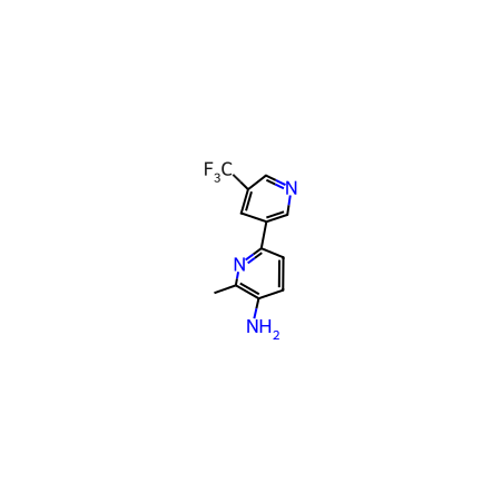 Cc1nc(-c2cncc(C(F)(F)F)c2)ccc1N